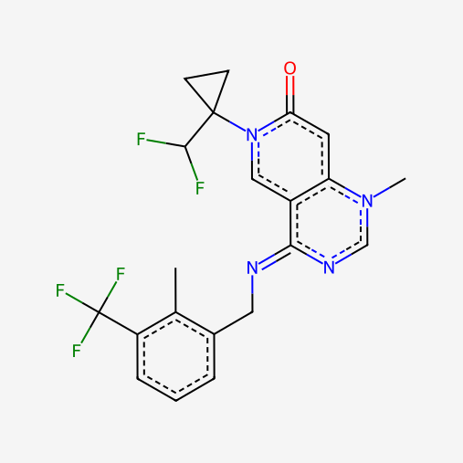 Cc1c(C/N=c2\ncn(C)c3cc(=O)n(C4(C(F)F)CC4)cc23)cccc1C(F)(F)F